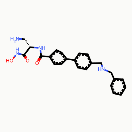 NC[C@H](NC(=O)c1ccc(-c2ccc(CNCc3ccccc3)cc2)cc1)C(=O)NO